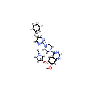 COc1cc2ncnc(N3CCN(c4ncc(Cc5ccccc5)cn4)CC3)c2cc1OC1CCN(C)C1